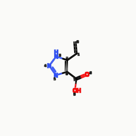 C=Cc1[nH]nnc1C(=O)O